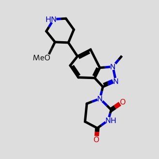 COC1CNCCC1c1ccc2c(N3CCC(=O)NC3=O)nn(C)c2c1